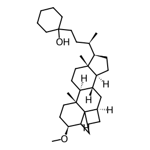 CO[C@H]1CC[C@]2(C)[C@H]3CC[C@]4(C)[C@@H]([C@H](C)CCC5(O)CCCCC5)CC[C@H]4[C@@H]3C[C@H]3CC4C[C@@H]1C432